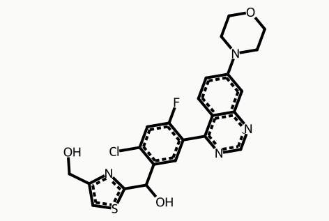 OCc1csc(C(O)c2cc(-c3ncnc4cc(N5CCOCC5)ccc34)c(F)cc2Cl)n1